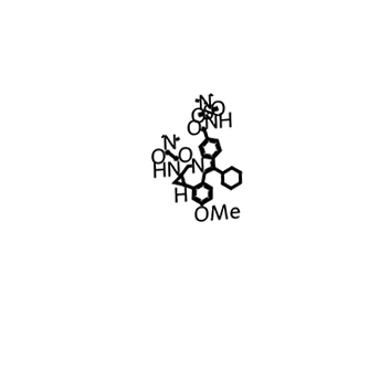 COc1ccc2c(c1)[C@@H]1C[C@]1(NC(=O)C(=O)N(C)C)Cn1c-2c(C2CCCCC2)c2ccc(C(=O)NS(=O)(=O)N(C)C)cc21